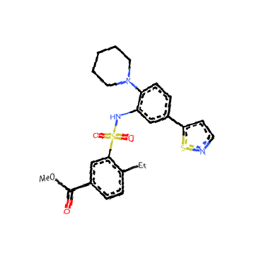 CCc1ccc(C(=O)OC)cc1S(=O)(=O)Nc1cc(-c2ccns2)ccc1N1CCCCC1